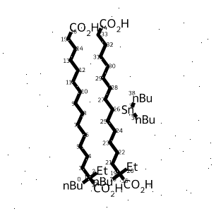 CCCCC(CC)(CCCCCCCCCCCCCC(=O)O)C(=O)O.CCCCC(CC)(CCCCCCCCCCCCCC(=O)O)C(=O)O.CCC[CH2][Sn][CH2]CCC